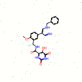 COc1ccc(/C(C=N)=C/NCc2ccccc2)cc1[C@@H](C)NC(=O)c1[nH]c(=O)[nH]c(=O)c1O